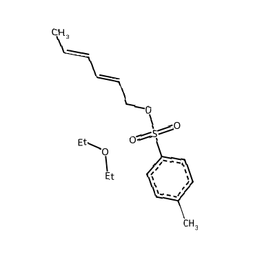 C/C=C/C=C/COS(=O)(=O)c1ccc(C)cc1.CCOCC